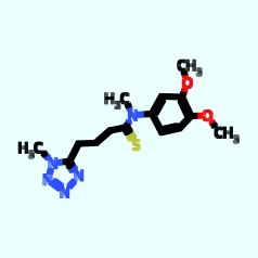 COc1ccc(N(C)C(=S)CCCc2nnnn2C)cc1OC